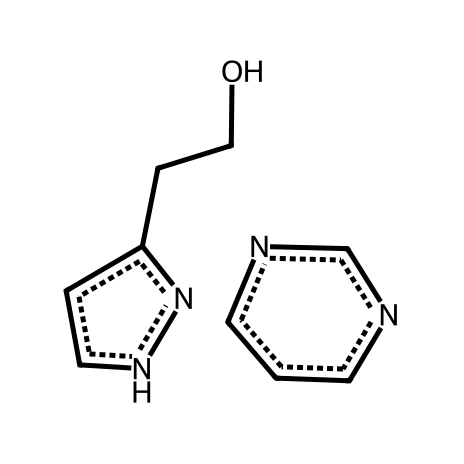 OCCc1cc[nH]n1.c1cncnc1